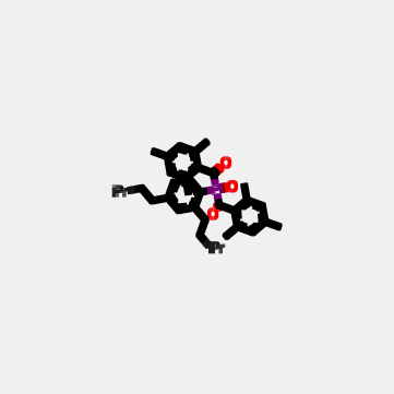 Cc1cc(C)c(C(=O)P(=O)(C(=O)c2c(C)cc(C)cc2C)c2ccc(CCC(C)C)cc2CCC(C)C)c(C)c1